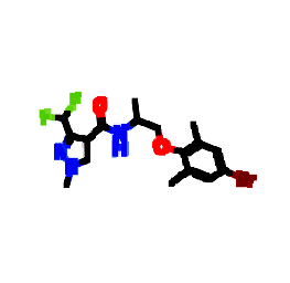 Cc1cc(Br)cc(C)c1OCC(C)NC(=O)c1cn(C)nc1C(F)F